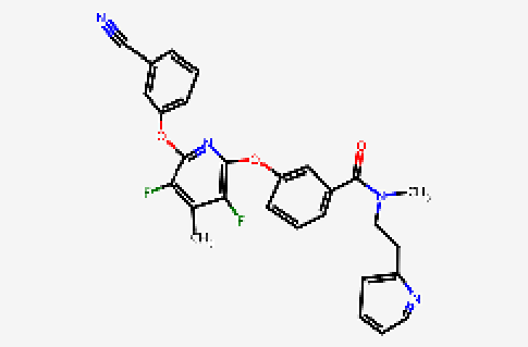 Cc1c(F)c(Oc2cccc(C#N)c2)nc(Oc2cccc(C(=O)N(C)CCc3ccccn3)c2)c1F